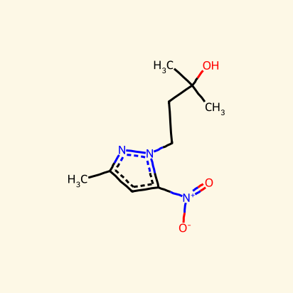 Cc1cc([N+](=O)[O-])n(CCC(C)(C)O)n1